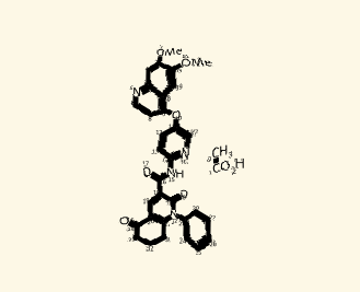 CC(=O)O.COc1cc2nccc(Oc3ccc(NC(=O)c4cc5c(n(-c6ccccc6)c4=O)CCCC5=O)nc3)c2cc1OC